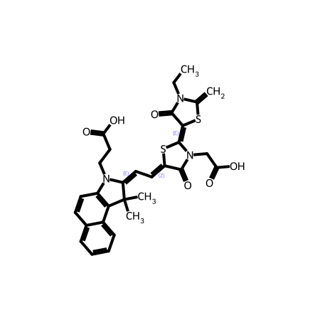 C=c1s/c(=c2/s/c(=C\C=C3\N(CCC(=O)O)c4ccc5ccccc5c4C3(C)C)c(=O)n2CC(=O)O)c(=O)n1CC